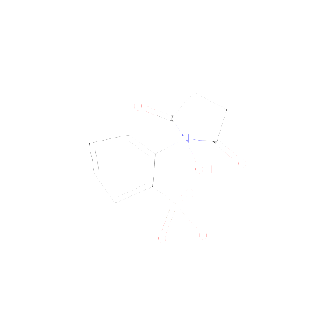 O=C1CCC(=O)[N+]1(O)c1ccccc1S(=O)(=O)[O-]